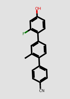 Cc1cc(-c2ccc(O)cc2F)ccc1-c1ccc(C#N)cc1